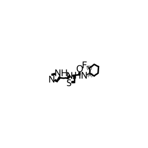 O=C(N[C@@H]1CCCC[C@H]1F)c1csc(-c2cnc[nH]2)n1